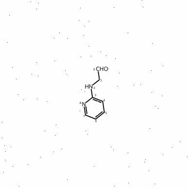 O=[C]CNc1ccccn1